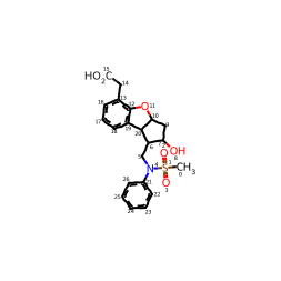 CS(=O)(=O)N(CC1C(O)CC2Oc3c(CC(=O)O)cccc3C21)c1ccccc1